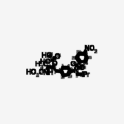 CC(C)CN(c1ccc(C[C@H](OP(=O)(O)O)[C@H](C)NC(=O)O)cc1)S(=O)(=O)c1ccc([N+](=O)[O-])cc1